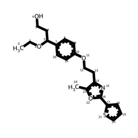 CCOC(CCO)c1ccc(OCCc2nc(-c3cccs3)oc2C)cc1